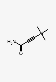 C[Si](C)(C)C#CC(N)=O